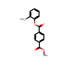 CCCCOC(=O)c1ccc(C(=O)Oc2ccccc2S(=O)(=O)O)cc1